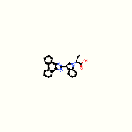 CCC(C(=O)O)n1cc(-c2nc3c4ccccc4c4ccccc4c3[nH]2)c2ccccc21